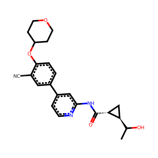 CC(O)[C@@H]1C[C@H]1C(=O)Nc1cc(-c2ccc(OC3CCOCC3)c(C#N)c2)ccn1